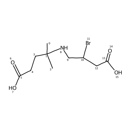 CC(C)(CCC(=O)O)NCC(Br)CC(=O)O